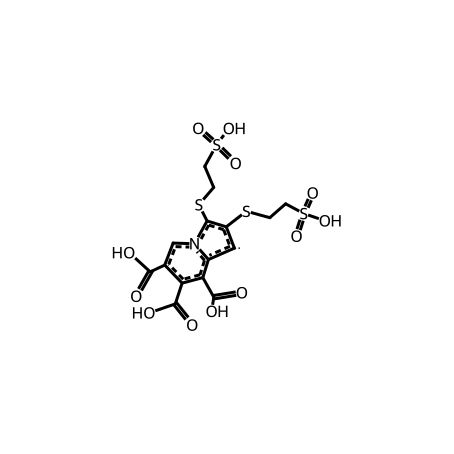 O=C(O)c1cn2c(SCCS(=O)(=O)O)c(SCCS(=O)(=O)O)[c]c2c(C(=O)O)c1C(=O)O